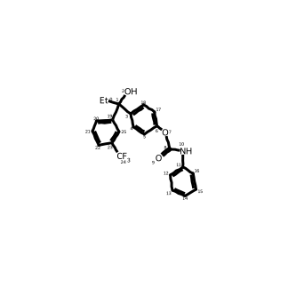 CCC(O)(c1ccc(OC(=O)Nc2ccccc2)cc1)c1cccc(C(F)(F)F)c1